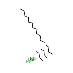 Br.Br.Br.CCCC.CCCC.CCCC.CCCCCCCCCCCC